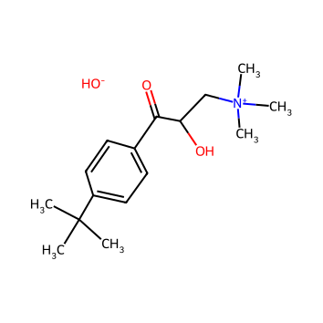 CC(C)(C)c1ccc(C(=O)C(O)C[N+](C)(C)C)cc1.[OH-]